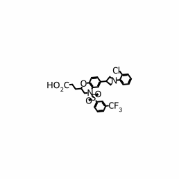 O=C(O)CCC1CN(S(=O)(=O)c2cccc(C(F)(F)F)c2)c2cc(C3CN(c4ccccc4Cl)C3)ccc2O1